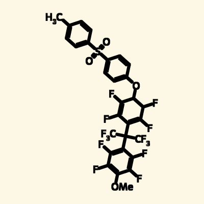 COc1c(F)c(F)c(C(C2=C(F)C(F)C(Oc3ccc(S(=O)(=O)c4ccc(C)cc4)cc3)C(F)=C2F)(C(F)(F)F)C(F)(F)F)c(F)c1F